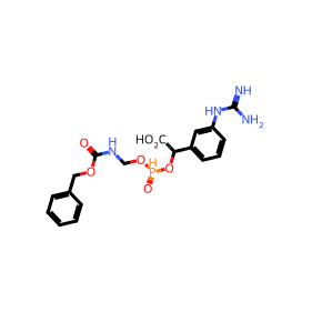 N=C(N)Nc1cccc(C(O[PH](=O)OCNC(=O)OCc2ccccc2)C(=O)O)c1